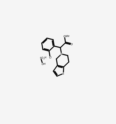 COC(=O)C(c1ccccc1Cl)N1CCc2sccc2C1.O=S(=O)(O)O